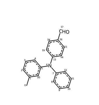 Cc1cccc(N(c2ccccc2)c2ccc(C=O)cc2)c1